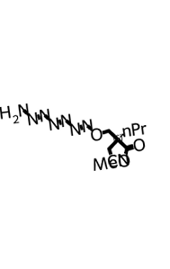 CCC[C@](CC#N)(CON=NN=NN=NN)C(=O)OC